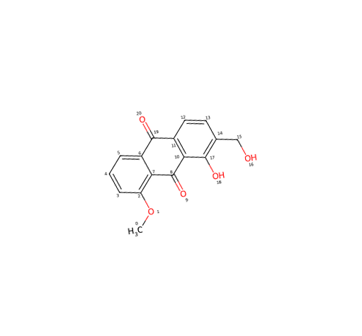 COc1cccc2c1C(=O)c1c(ccc(CO)c1O)C2=O